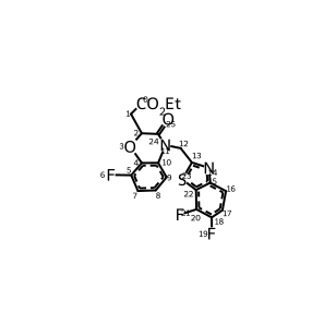 CCOC(=O)CC1Oc2c(F)cccc2N(Cc2nc3ccc(F)c(F)c3s2)C1=O